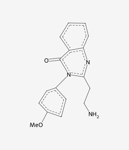 COc1ccc(-n2c(CCN)nc3ccccc3c2=O)cc1